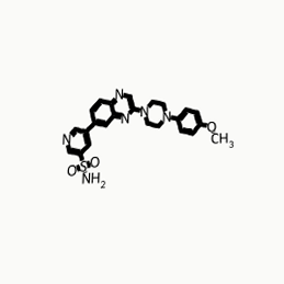 COc1ccc(N2CCN(c3cnc4ccc(-c5cncc(S(N)(=O)=O)c5)cc4n3)CC2)cc1